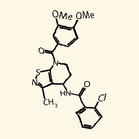 COc1ccc(C(=O)N2CCC(NC(=O)c3ccccc3Cl)c3c(C)nsc32)cc1OC